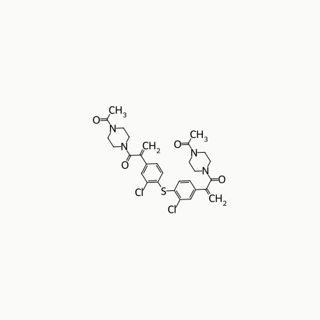 C=C(C(=O)N1CCN(C(C)=O)CC1)c1ccc(Sc2ccc(C(=C)C(=O)N3CCN(C(C)=O)CC3)cc2Cl)c(Cl)c1